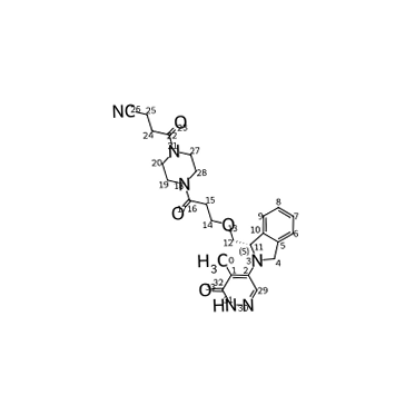 Cc1c(N2Cc3ccccc3[C@H]2COCCC(=O)N2CCN(C(=O)CCC#N)CC2)cn[nH]c1=O